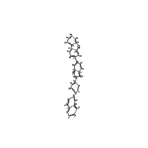 c1ccc2ncc(-c3ccc(-n4nc5ccc(-c6ccc7c(c6)oc6ccccc67)cc5n4)cc3)cc2c1